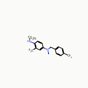 CCOC(=O)Nc1ccc(N(C)Cc2ccc(C(F)(F)F)cc2)cc1C(F)(F)F